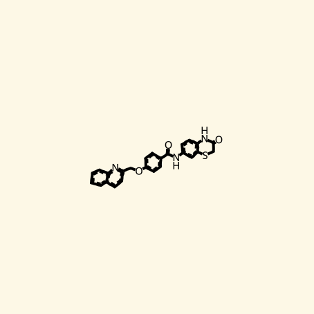 O=C1CSc2cc(NC(=O)c3ccc(OCc4ccc5ccccc5n4)cc3)ccc2N1